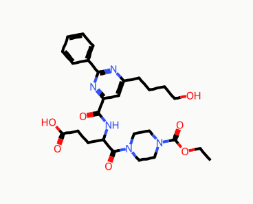 CCOC(=O)N1CCN(C(=O)C(CCC(=O)O)NC(=O)c2cc(CCCCO)nc(-c3ccccc3)n2)CC1